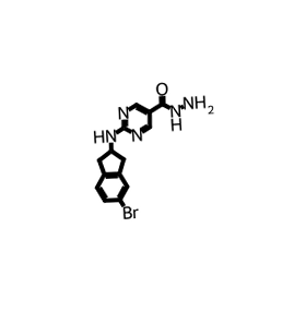 NNC(=O)c1cnc(NC2Cc3ccc(Br)cc3C2)nc1